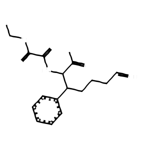 C=CCCCC(c1ccccc1)C(NC(=O)C(=O)OCC)C(=O)O